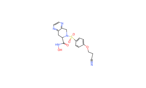 N#CCCOc1ccc(S(=O)(=O)N2Cc3nccnc3CC2C(=O)NO)cc1